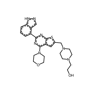 OC[CH]N1CCN(Cc2cc3c(N4CCOCC4)nc(-c4cccc5[nH]ncc45)nc3s2)CC1